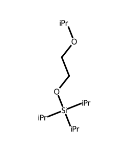 CC(C)OCCO[Si](C(C)C)(C(C)C)C(C)C